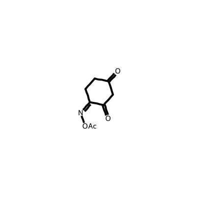 CC(=O)O/N=C1/CCC(=O)CC1=O